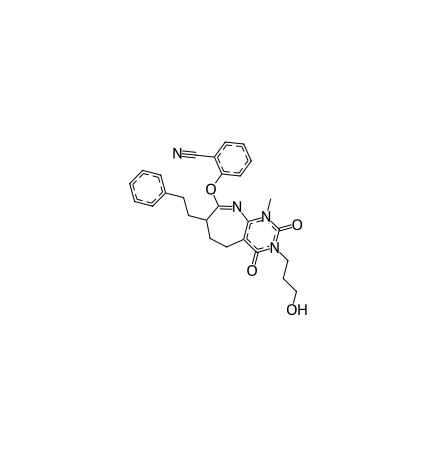 Cn1c2c(c(=O)n(CCCO)c1=O)CCC(CCc1ccccc1)C(Oc1ccccc1C#N)=N2